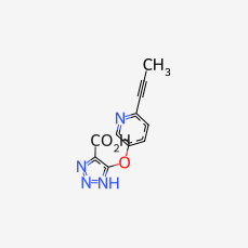 CC#Cc1ccc(Oc2[nH]nnc2C(=O)O)cn1